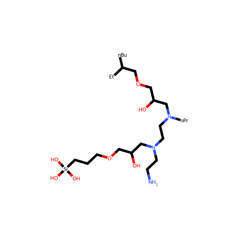 CCCCC(CC)COCC(O)CN(CCC)CCN(CCN)CC(O)COCCC[Si](O)(O)O